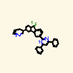 FC1(F)c2ccc(-c3cccnc3)cc2-c2cc(-c3nc(-c4ccccc4)cc(-c4ccccc4)n3)ccc21